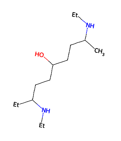 CCNC(C)CCC(O)CCC(CC)NCC